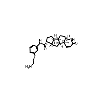 C[C@]12C=CC(=O)N[C@@H]1CC[C@@H]1[C@@H]2CC[C@]2(C)[C@@H](C(=O)Nc3cccc(OCCN)c3)CC[C@@H]12